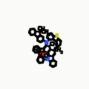 CC1C2=C3c4ccccc4OC3(C)C3=C1C(C)(C=C1c4ccccc4N(c4ccccc4)C13C)c1ccc3sc4cccc(c4c3c1)N2c1ccc2c(c1)C(C)(C)c1ccccc1-2